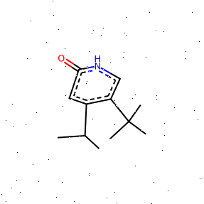 CC(C)c1cc(=O)[nH]cc1C(C)(C)C